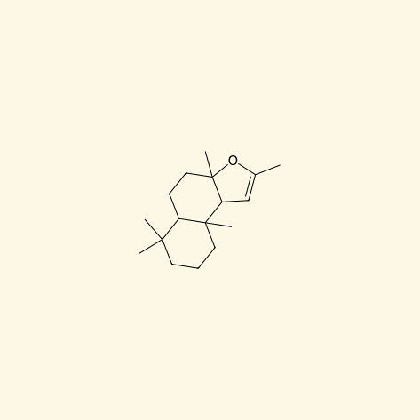 CC1=CC2C(C)(CCC3C(C)(C)CCCC32C)O1